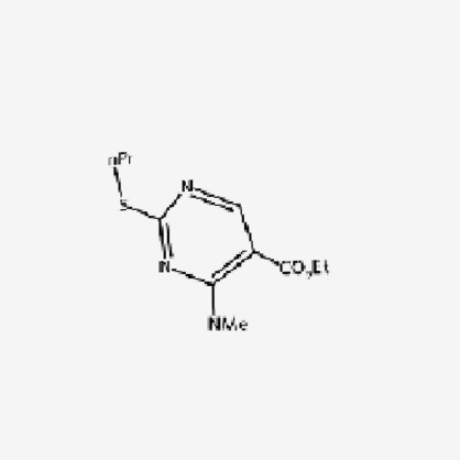 CCCSc1ncc(C(=O)OCC)c(NC)n1